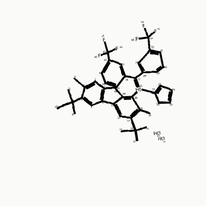 Cc1cc2c(cc1C(C)(C)C)-c1cc(C(C)(C)C)c(C)[c]([Hf]([C]3=CC=CC3)=[C](c3cccc(C(F)(F)F)c3)c3cccc(C(F)(F)F)c3)c1C2.Cl.Cl